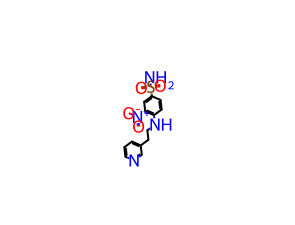 NS(=O)(=O)c1ccc(NCCc2cccnc2)c([N+](=O)[O-])c1